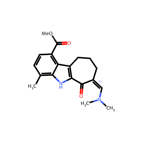 COC(=O)c1ccc(C)c2[nH]c3c(c12)CCC/C(=C/N(C)C)C3=O